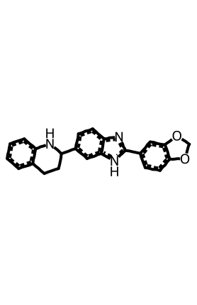 c1ccc2c(c1)CCC(c1ccc3nc(-c4ccc5c(c4)OCO5)[nH]c3c1)N2